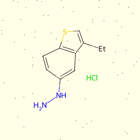 CCc1csc2ccc(NN)cc12.Cl